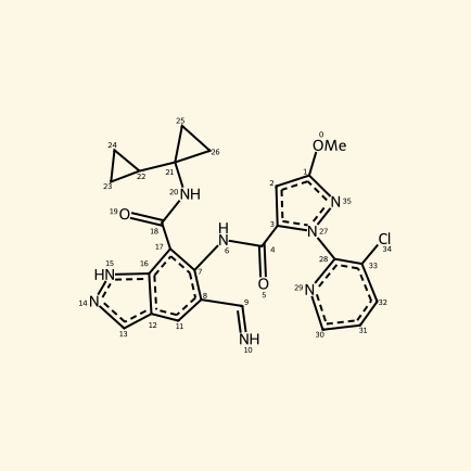 COc1cc(C(=O)Nc2c(C=N)cc3cn[nH]c3c2C(=O)NC2(C3CC3)CC2)n(-c2ncccc2Cl)n1